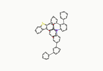 c1ccc(-c2cccc(-c3ccc(N(c4ccc5sc6ccccc6c5c4)c4cccc(-c5ccccc5)c4-c4ccccc4-c4ccccc4)cc3)c2)cc1